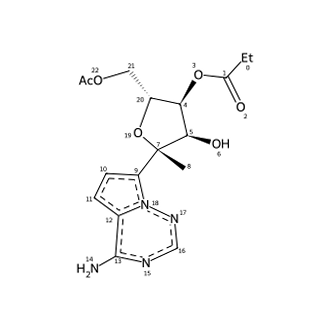 CCC(=O)O[C@H]1[C@@H](O)[C@](C)(c2ccc3c(N)ncnn23)O[C@@H]1COC(C)=O